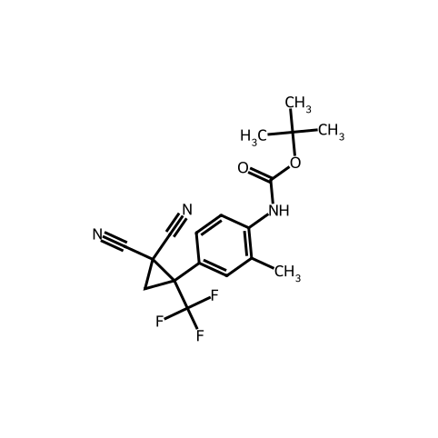 Cc1cc(C2(C(F)(F)F)CC2(C#N)C#N)ccc1NC(=O)OC(C)(C)C